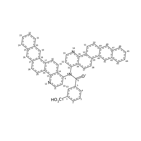 O=C(O)c1cccc(C(=O)N(c2ccnc3c2ccc2c4cc5ccccc5cc4ccc23)c2ccnc3c2ccc2c4cc5ccccc5cc4ccc23)c1